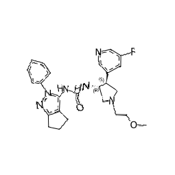 COCCN1C[C@H](NC(=O)Nc2c3c(nn2-c2ccccc2)CCC3)[C@@H](c2cncc(F)c2)C1